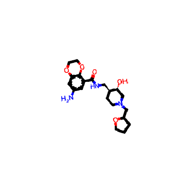 Nc1cc2c(c(C(=O)NC[C@@H]3CCN(CC4CCCO4)C[C@H]3O)c1)OCCO2